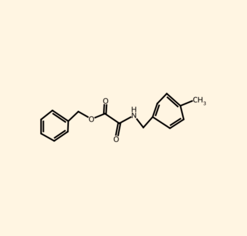 Cc1ccc(CNC(=O)C(=O)OCc2ccccc2)cc1